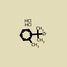 Cc1ccccc1[C](C)(C)[Zr].Cl.Cl